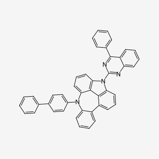 c1ccc(-c2ccc(-n3c4ccccc4c4cccc5c4c4c3cccc4n5-c3nc(-c4ccccc4)c4ccccc4n3)cc2)cc1